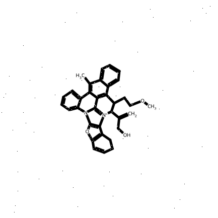 C=C(CO)C1C(CCOC)c2c3ccccc3c(C)c3c4ccccc4n4c5oc6c(c5[n+]1c4c23)CCC=C6